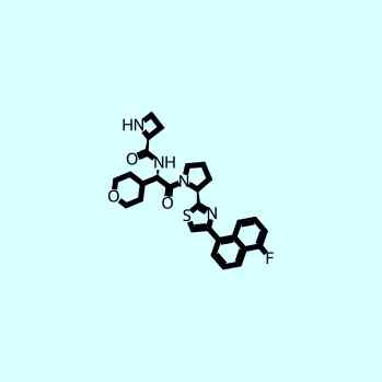 O=C(N[C@H](C(=O)N1CCC[C@H]1c1nc(-c2cccc3c(F)cccc23)cs1)C1CCOCC1)[C@@H]1CCN1